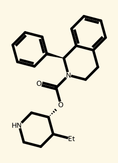 CCC1CCNC[C@@H]1OC(=O)N1CCc2ccccc2[C@@H]1c1ccccc1